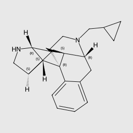 c1ccc2c(c1)C[C@H]1N(CC3CC3)CC[C@@]23[C@@H]2[C@H]4CN[C@@H]2CC[C@@]13C4